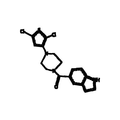 O=C(c1ccc2[nH]ccc2c1)N1CCN(c2cc(Cl)sc2Cl)CC1